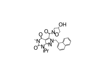 CC(C)n1c(=O)n(C)c(=O)c2c(C(=O)N3CC(O)CO3)n(Cc3cccc4ccccc34)nc21